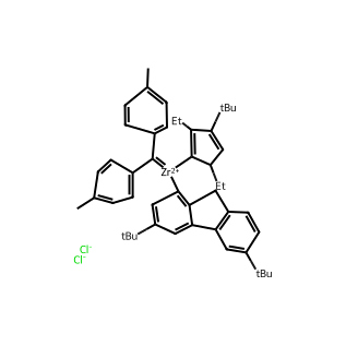 CCC1=[C]([Zr+2](=[C](c2ccc(C)cc2)c2ccc(C)cc2)[c]2cc(C(C)(C)C)cc3c2Cc2ccc(C(C)(C)C)cc2-3)C(CC)C=C1C(C)(C)C.[Cl-].[Cl-]